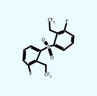 O=S(=O)(c1cccc(F)c1CC(F)(F)F)c1cccc(F)c1CC(F)(F)F